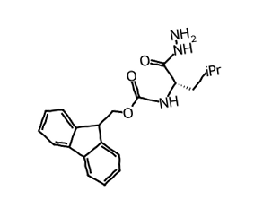 CC(C)C[C@H](NC(=O)OCC1c2ccccc2-c2ccccc21)C(=O)NN